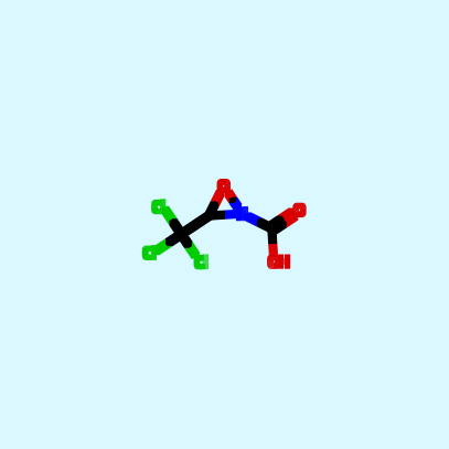 O=C(O)N1OC1C(Cl)(Cl)Cl